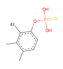 CCc1c(OP(O)(O)=S)ccc(C)c1C